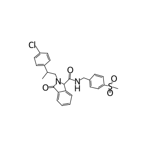 CC(CN1C(=O)c2ccccc2C1C(=O)NCc1ccc(S(C)(=O)=O)cc1)c1ccc(Cl)cc1